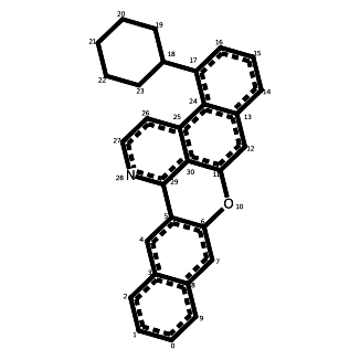 c1ccc2cc3c(cc2c1)Oc1cc2cccc(C4CCCCC4)c2c2ccnc-3c12